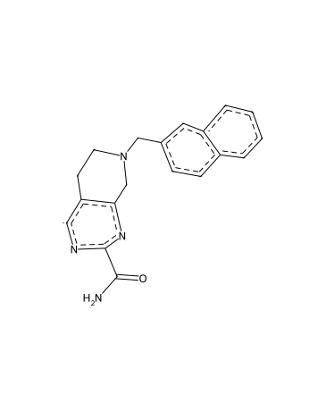 NC(=O)c1n[c]c2c(n1)CN(Cc1ccc3ccccc3c1)CC2